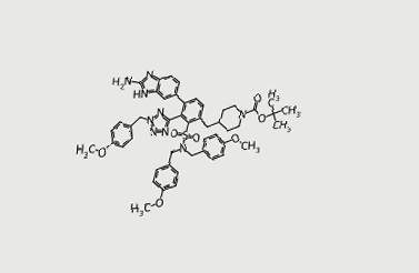 COc1ccc(CN(Cc2ccc(OC)cc2)S(=O)(=O)c2c(CC3CCN(C(=O)OC(C)(C)C)CC3)ccc(-c3ccc4nc(N)[nH]c4c3)c2-c2nnn(Cc3ccc(OC)cc3)n2)cc1